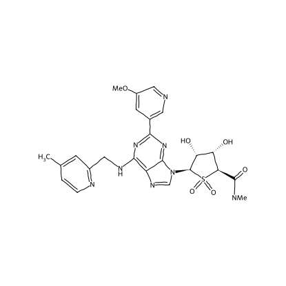 CNC(=O)[C@@H]1[C@@H](O)[C@@H](O)[C@H](n2cnc3c(NCc4cc(C)ccn4)nc(-c4cncc(OC)c4)nc32)S1(=O)=O